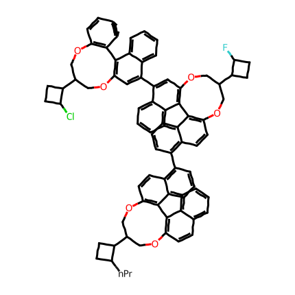 CCCC1CCC1C1COc2ccc3ccccc3c2-c2c(ccc3c(-c4cccc5c6c(ccc45)OCC(C4CCC4F)COc4cc(-c5cc7c(c8ccccc58)-c5c(ccc8ccccc58)OCC(C5CCC5Cl)CO7)c5ccccc5c4-6)cccc23)OC1